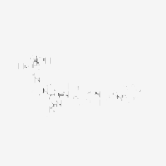 Nc1cc(N2CCCN(CCP(=O)(O)O)CC2)nc(NCC2CCC(CNCCCNC3CCCCC3)CC2)n1